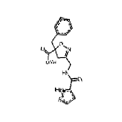 COC(=O)C1(Cc2ccccc2)CC(CNC(=O)c2ccn[nH]2)=NO1